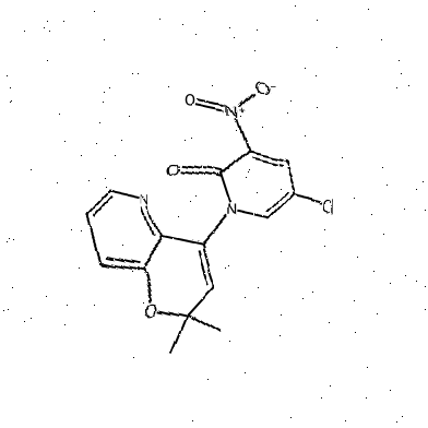 CC1(C)C=C(n2cc(Cl)cc([N+](=O)[O-])c2=O)c2ncccc2O1